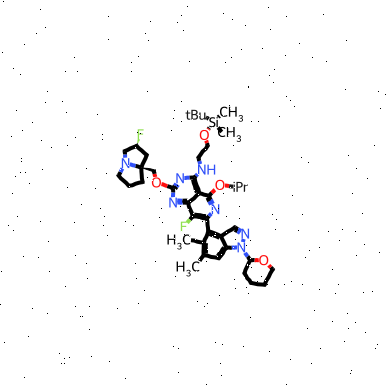 Cc1cc2c(cnn2C2CCCCO2)c(-c2nc(OC(C)C)c3c(NCCO[Si](C)(C)C(C)(C)C)nc(OC[C@@]45CCCN4C[C@H](F)C5)nc3c2F)c1C